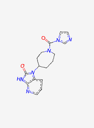 O=C(N1CCCC(n2c(=O)[nH]c3ncccc32)CC1)n1ccnc1